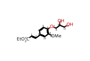 CCOC(=O)C=Cc1ccc(OCC(O)CO)c(OC)c1